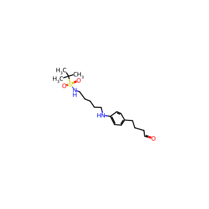 CC(C)(C)S(=O)(=O)NCCCCCNc1ccc(CCCC=O)cc1